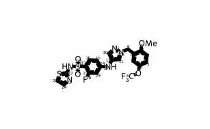 COc1ccc(OC(F)(F)F)cc1Cn1cc(Nc2ccc(S(=O)(=O)Nc3nccs3)c(F)c2)cn1